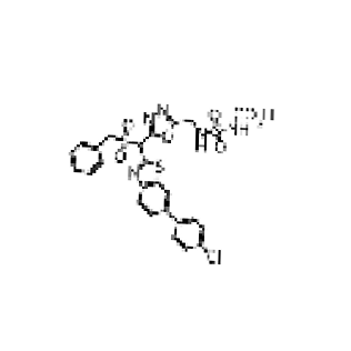 O=C(O)NS(=O)(=O)NCc1nnc(C(c2nc3ccc(-c4ccc(Cl)cc4)cc3s2)S(=O)(=O)Cc2ccccc2)o1